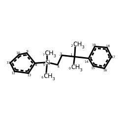 CC(C)([CH]C[Si](C)(C)c1ccccc1)c1ccccc1